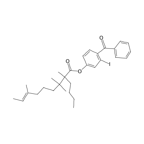 C/C=C(\C)CCCC(C)(C)C(C)(CCCC)C(=O)Oc1ccc(C(=O)c2ccccc2)c(I)c1